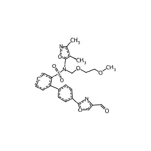 COCCOCN(c1onc(C)c1C)S(=O)(=O)c1ccccc1-c1ccc(-c2nc(C=O)co2)cc1